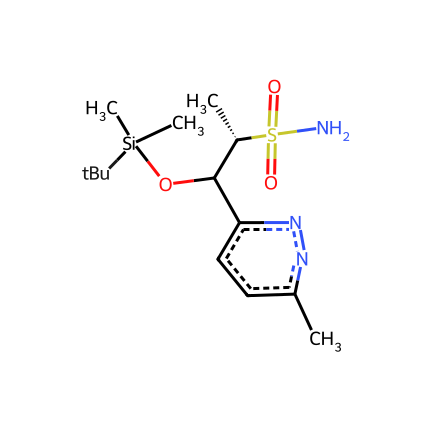 Cc1ccc(C(O[Si](C)(C)C(C)(C)C)[C@H](C)S(N)(=O)=O)nn1